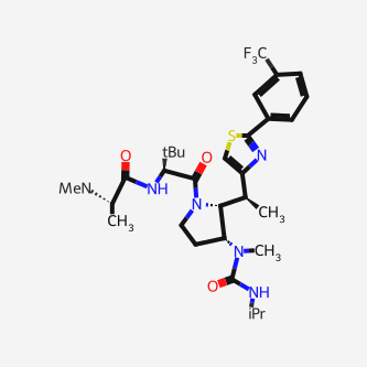 CN[C@@H](C)C(=O)N[C@H](C(=O)N1CC[C@@H](N(C)C(=O)NC(C)C)[C@H]1[C@H](C)c1csc(-c2cccc(C(F)(F)F)c2)n1)C(C)(C)C